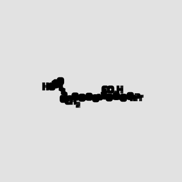 C=C(CCOCCOCCOCCOCCC(CCOCCOCCOCCOCCC)CCC(=O)O)C(=O)CCCCCC1=CC(O)C=CC1=O